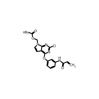 C=CC(=O)Nc1cccc(Oc2nc(Cl)nc3c2ccn3COC(=O)CCCC)c1